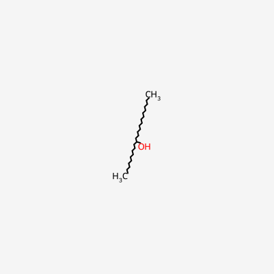 CCCCCCCCCCCCCCCC(CO)CCCCCCCCCCC